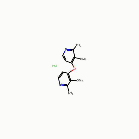 COc1c(Oc2ccnc(C)c2OC)ccnc1C.Cl